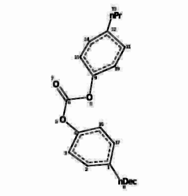 CCCCCCCCCCc1ccc(OC(=O)Oc2ccc(CCC)cc2)cc1